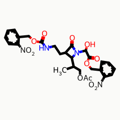 CC(=O)OCC(C)C1C(CCNC(=O)OCc2ccccc2[N+](=O)[O-])C(=O)N1C(O)C(=O)OCc1ccccc1[N+](=O)[O-]